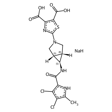 Cc1[nH]c(C(=O)N[C@H]2[C@@H]3CN(c4nc(C(=O)O)c(C(=O)O)s4)C[C@@H]32)c(Cl)c1Cl.[NaH]